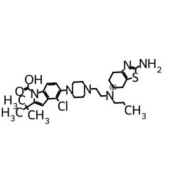 CCCN(CCN1CCN(c2ccc3c(cc(C(C)(C)C)n3C(=O)O)c2Cl)CC1)[C@@H]1CCc2nc(N)sc2C1